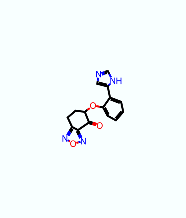 O=C1c2nonc2CCC1Oc1ccccc1-c1cnc[nH]1